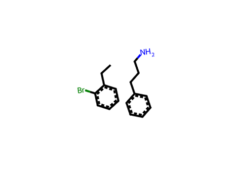 CCc1ccccc1Br.NCCCc1ccccc1